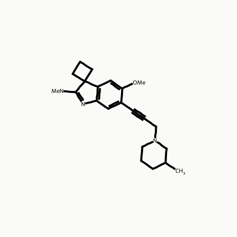 CNC1=Nc2cc(C#CCN3CCCC(C)C3)c(OC)cc2C12CCC2